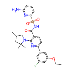 CCOc1cc(F)cc(-c2ccc(C(=O)NS(=O)(=O)c3cccc(N)n3)c(N3CC(C)CC3(C)C)n2)c1